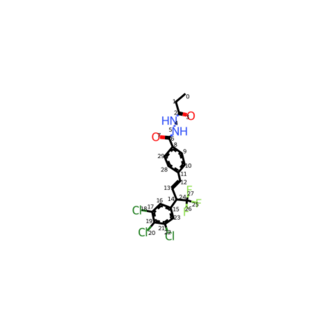 CCC(=O)NNC(=O)c1ccc(/C=C/C(c2cc(Cl)c(Cl)c(Cl)c2)C(F)(F)F)cc1